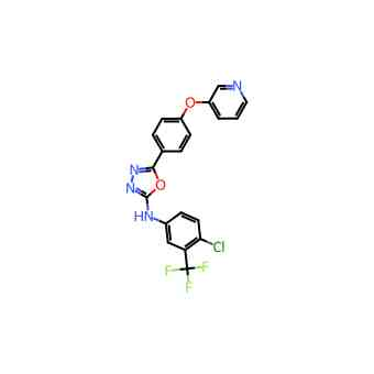 FC(F)(F)c1cc(Nc2nnc(-c3ccc(Oc4cccnc4)cc3)o2)ccc1Cl